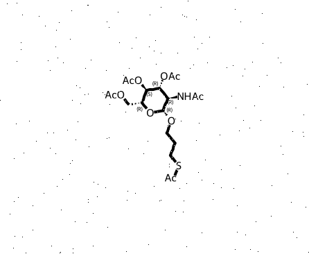 CC(=O)N[C@H]1[C@H](OCCCSC(C)=O)O[C@H](COC(C)=O)[C@@H](OC(C)=O)[C@@H]1OC(C)=O